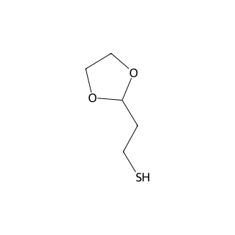 SCCC1OCCO1